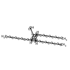 COCCOCCOCCOCCOCCOCCOCCOCCNS(=O)(=O)C1=CC(S(=O)(=O)NCCOCCOCCOCCOCCOCCOCCOCCOC)=C2C=CC3=C(S(=O)(=O)NCCOCCOCCOCCOCCOCCOCCOCCOC)C=C(OCCCCCC(=O)O)C4=CC=C1C2C43